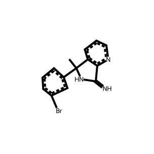 CC1(c2cccc(Br)c2)NC(=N)c2ncccc21